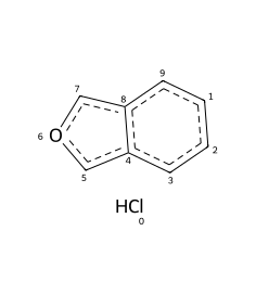 Cl.c1ccc2cocc2c1